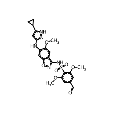 COc1cc2c(NS(=O)(=O)c3c(OC)cc(C=O)cc3OC)noc2cc1Nc1cc(C2CC2)[nH]n1